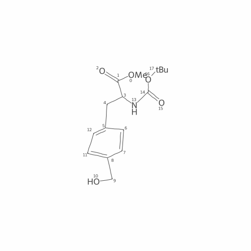 COC(=O)C(Cc1ccc(CO)cc1)NC(=O)OC(C)(C)C